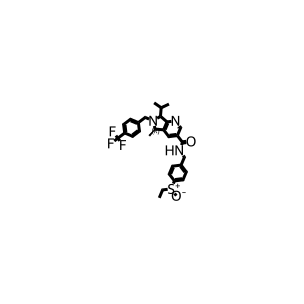 CC[S+]([O-])c1ccc(CNC(=O)c2cnc3c(c2)[C@@H](C)N(Cc2ccc(C(F)(F)F)cc2)C3C(C)C)cc1